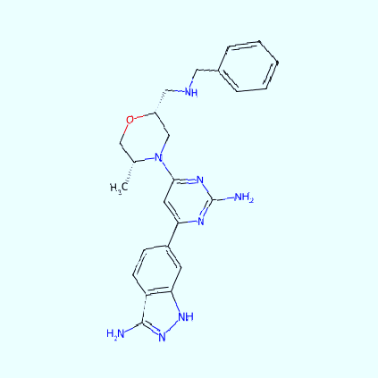 C[C@@H]1CO[C@H](CNCc2ccccc2)CN1c1cc(-c2ccc3c(N)n[nH]c3c2)nc(N)n1